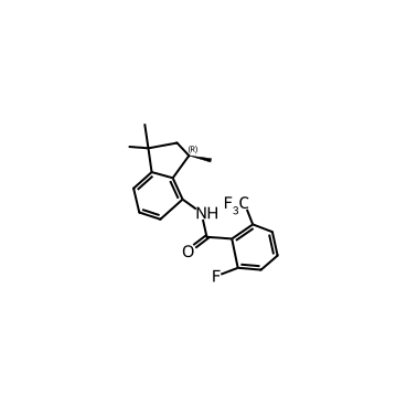 C[C@@H]1CC(C)(C)c2cccc(NC(=O)c3c(F)cccc3C(F)(F)F)c21